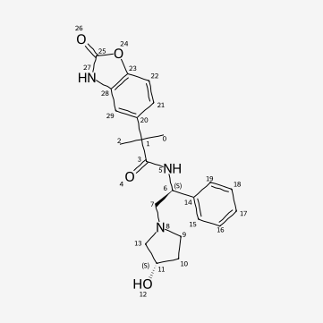 CC(C)(C(=O)N[C@H](CN1CC[C@H](O)C1)c1ccccc1)c1ccc2oc(=O)[nH]c2c1